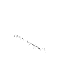 CCNCCCNCCCCCCCNCCCNCC